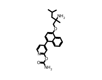 CC(C)CC(C)(N)COc1ccc(-c2ccnc(OC(N)=O)c2)c2ccccc12